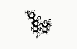 COc1cnc2cc(C3CCNCC3)c(=O)n(Cc3nccnc3C(F)(F)F)c2n1